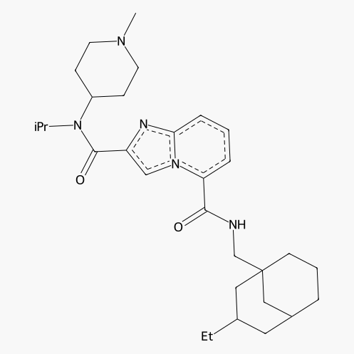 CCC1CC2CCCC(CNC(=O)c3cccc4nc(C(=O)N(C(C)C)C5CCN(C)CC5)cn34)(C1)C2